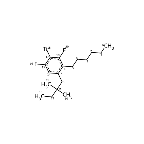 CCCCCCc1c(CC(C)(C)CC)cc(F)[c]([Ti])c1F